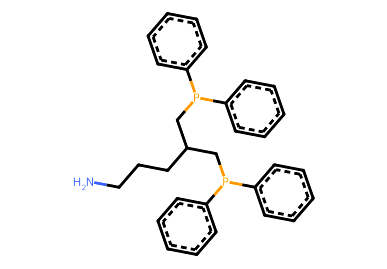 NCCCC(CP(c1ccccc1)c1ccccc1)CP(c1ccccc1)c1ccccc1